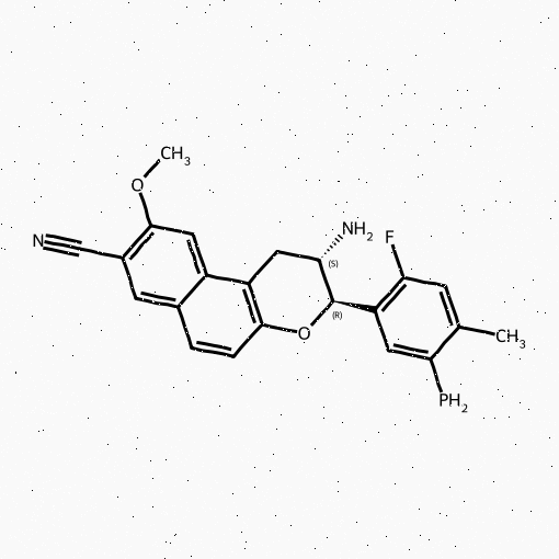 COc1cc2c3c(ccc2cc1C#N)O[C@H](c1cc(P)c(C)cc1F)[C@@H](N)C3